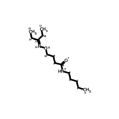 CCCCCNC(=O)CCCON=C(CC)CC